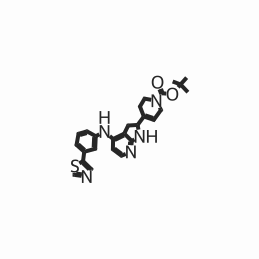 CC(C)(C)OC(=O)N1CC=C(C2Cc3c(Nc4cccc(-c5cncs5)c4)ccnc3N2)CC1